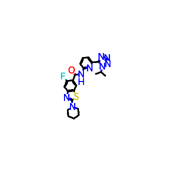 CC(C)n1nnnc1-c1cccc(NC(=O)c2cc3sc(N4CCCCC4)nc3cc2F)n1